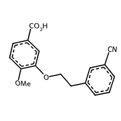 COc1ccc(C(=O)O)cc1OCCc1cccc(C#N)c1